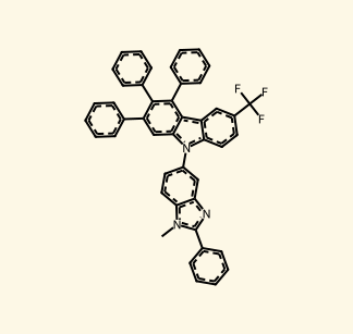 Cn1c(-c2ccccc2)nc2cc(-n3c4ccc(C(F)(F)F)cc4c4c(-c5ccccc5)c(-c5ccccc5)c(-c5ccccc5)cc43)ccc21